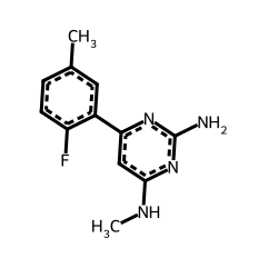 CNc1cc(-c2cc(C)ccc2F)nc(N)n1